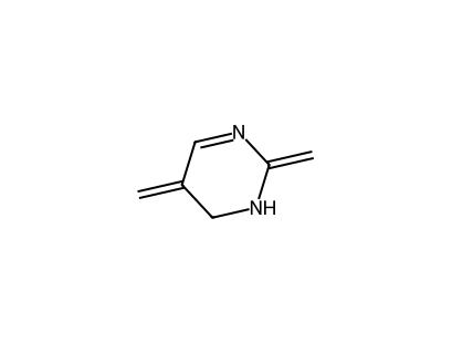 C=C1C=NC(=C)NC1